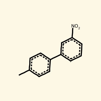 Cc1ccc(-c2[c]ccc([N+](=O)[O-])c2)cc1